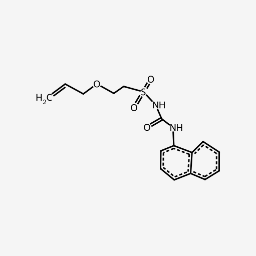 C=CCOCCS(=O)(=O)NC(=O)Nc1cccc2ccccc12